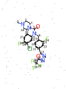 CN1CCN(C(=O)N(Cc2ccc(-c3nnc(C(F)(F)F)o3)cc2F)c2ccc(F)c(Cl)c2)CC1